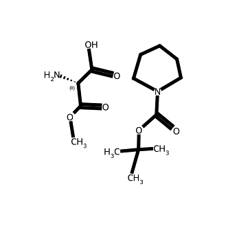 CC(C)(C)OC(=O)N1CCCCC1.COC(=O)[C@H](N)C(=O)O